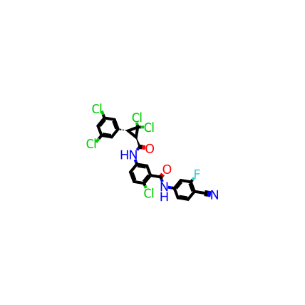 N#Cc1ccc(NC(=O)c2cc(NC(=O)[C@H]3[C@H](c4cc(Cl)cc(Cl)c4)C3(Cl)Cl)ccc2Cl)cc1F